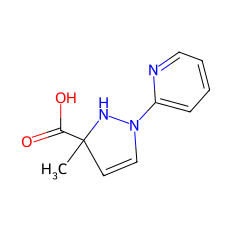 CC1(C(=O)O)C=CN(c2ccccn2)N1